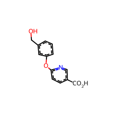 O=C(O)c1ccc(Oc2cccc(CO)c2)nc1